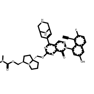 C#Cc1c(F)ccc2cc(O)cc(-n3ncc4c(C5=CC6CNCC(C5)N6)nc(OC[C@]56CCCN5[C@@H](COC(=O)N(C)C)CC6)nc4c3=O)c12